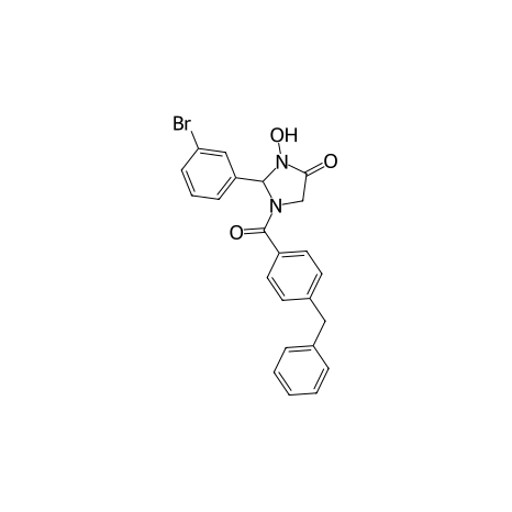 O=C1CN(C(=O)c2ccc(Cc3ccccc3)cc2)C(c2cccc(Br)c2)N1O